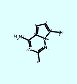 Cc1nc(N)c2ccc(C(C)C)n2n1